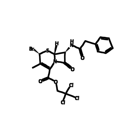 CC1=C(C(=O)OCC(Cl)(Cl)Cl)N2C(=O)[C@@H](NC(=O)Cc3ccccc3)[C@H]2S[C@H]1Br